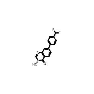 O=c1c2ccc(-c3ccc(C(F)F)cc3)cc2ncn1O